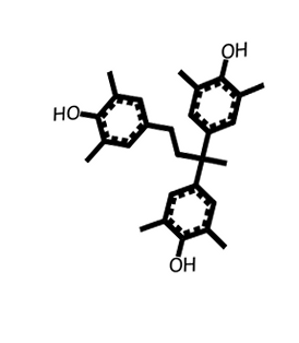 Cc1cc(CCC(C)(c2cc(C)c(O)c(C)c2)c2cc(C)c(O)c(C)c2)cc(C)c1O